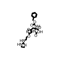 O=CNC(Cc1cc(OCCNC2=NCCN2)no1)(NC(=O)OCc1ccccc1)C(=O)O